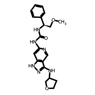 COC[C@@H](NC(=O)Nc1cc2[nH]nc(NC3CCOC3)c2cn1)c1ccccc1